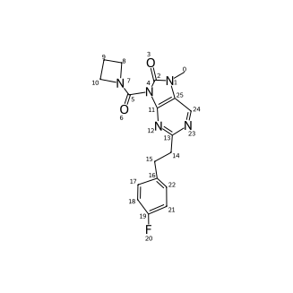 Cn1c(=O)n(C(=O)N2CCC2)c2nc(CCc3ccc(F)cc3)ncc21